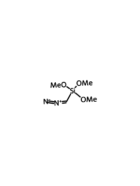 CO[Si](C=[N+]=[N-])(OC)OC